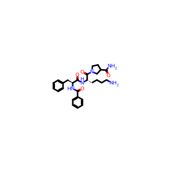 NCCCC[C@H](NC(=O)[C@H](Cc1ccccc1)NC(=O)c1ccccc1)C(=O)N1CCC(C(N)=O)C1